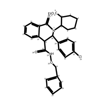 CCOC(=O)C1CCCCC1N1C(=O)c2ccccc2C(C(=O)NOCc2ccccc2)C1c1ccc(Cl)cc1